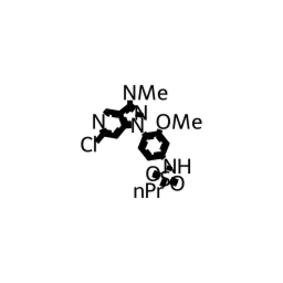 CCCS(=O)(=O)Nc1ccc(-n2nc(NC)c3cnc(Cl)cc32)c(OC)c1